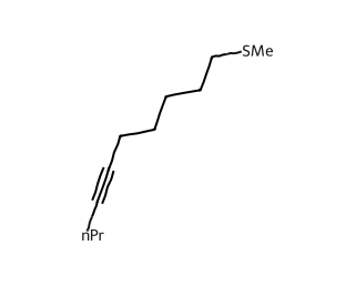 [CH2]CCC#CCCCCCSC